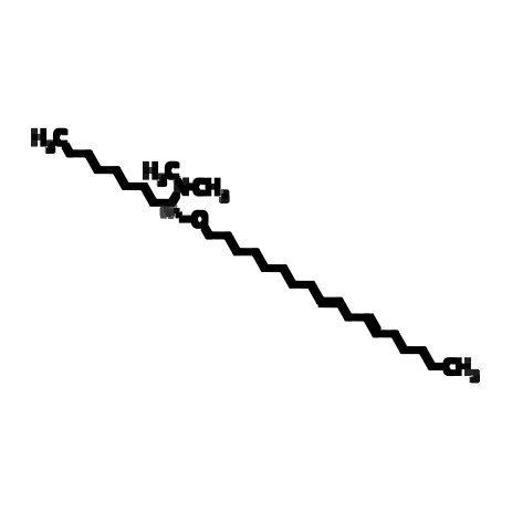 CCCCCC=CCC=CCCCCCCCCOC[C@H](CCCCCCCC)N(C)C